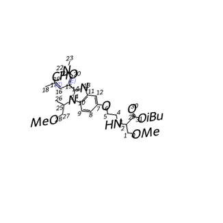 COCC(NCCOc1ccc2c(c1)nc(C(/C=C(/C)C=O)=C/N(C)C)n2C(C)COC)C(=O)OCC(C)C